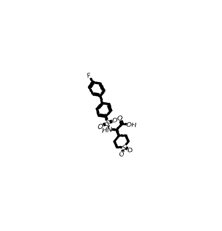 O=C(O)C(NS(=O)(=O)c1ccc(-c2ccc(F)cc2)cc1)C1CCS(=O)(=O)CC1